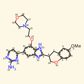 COc1ccc2c(c1)CC(c1nc3cc(-c4ccnc(N)n4)cc(OCCN4CCOCC4)c3[nH]1)CO2